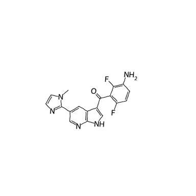 Cn1ccnc1-c1cnc2[nH]cc(C(=O)c3c(F)ccc(N)c3F)c2c1